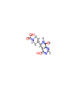 Cc1nc(O)c2cc(C3=CCN(C(=O)O)CC3)n(C)c(=O)c2n1